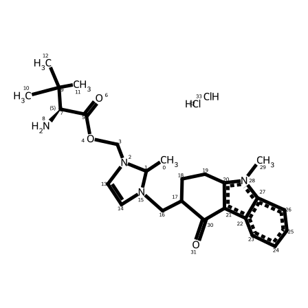 CC1N(COC(=O)[C@@H](N)C(C)(C)C)C=CN1CC1CCc2c(c3ccccc3n2C)C1=O.Cl.Cl